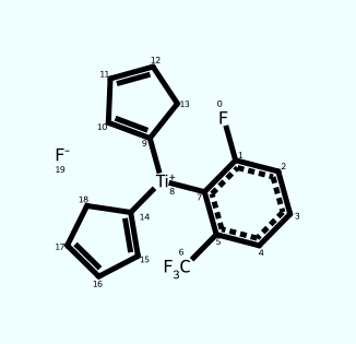 Fc1cccc(C(F)(F)F)[c]1[Ti+]([C]1=CC=CC1)[C]1=CC=CC1.[F-]